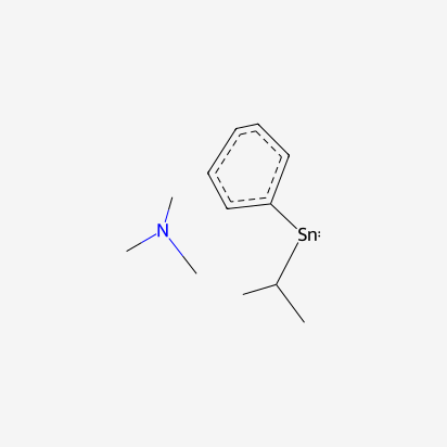 CN(C)C.C[CH](C)[Sn][c]1ccccc1